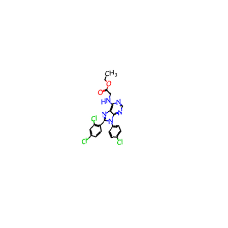 CCOC(=O)CNc1ncnc2c1nc(-c1ccc(Cl)cc1Cl)n2-c1ccc(Cl)cc1